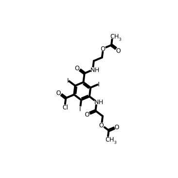 CC(=O)OCCNC(=O)c1c(I)c(NC(=O)COC(C)=O)c(I)c(C(=O)Cl)c1I